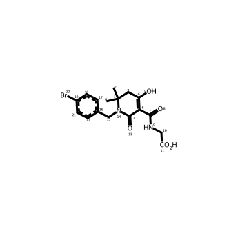 CC1(C)CC(O)=C(C(=O)NCC(=O)O)C(=O)N1Cc1ccc(Br)cc1